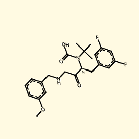 COc1cccc(CNCC(=O)[C@H](Cc2cc(F)cc(F)c2)N(C(=O)O)C(C)(C)C)c1